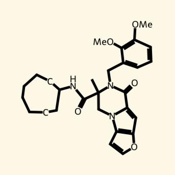 COc1cccc(CN2C(=O)c3cc4occc4n3CC2(C)C(=O)NC2CCCCCCC2)c1OC